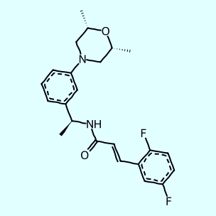 C[C@@H]1CN(c2cccc([C@H](C)NC(=O)C=Cc3cc(F)ccc3F)c2)C[C@H](C)O1